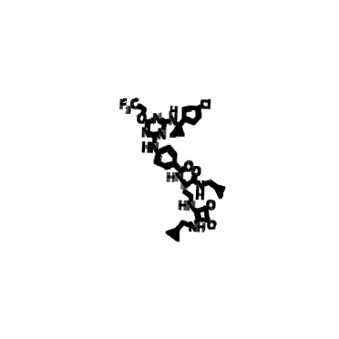 O=C(N[C@@H](CCNc1c(NCC2CC2)c(=O)c1=O)C(=O)NCC1CC1)c1ccc(Nc2nc(NC3(c4ccc(Cl)cc4)CC3)nc(OCC(F)(F)F)n2)cc1